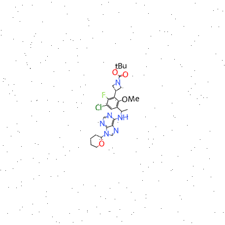 COc1c(C(C)Nc2ncnc3c2ncn3C2CCCCO2)cc(Cl)c(F)c1C1CN(C(=O)OC(C)(C)C)C1